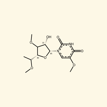 COc1cn([C@@H]2O[C@H](C(C)OC)C(OC)[C@@H]2O)c(=O)[nH]c1=O